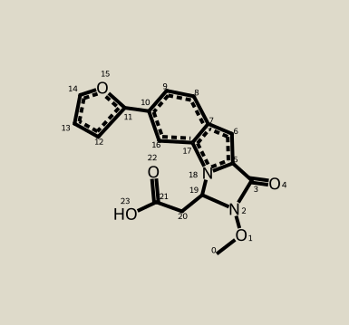 CON1C(=O)c2cc3ccc(-c4ccco4)cc3n2C1CC(=O)O